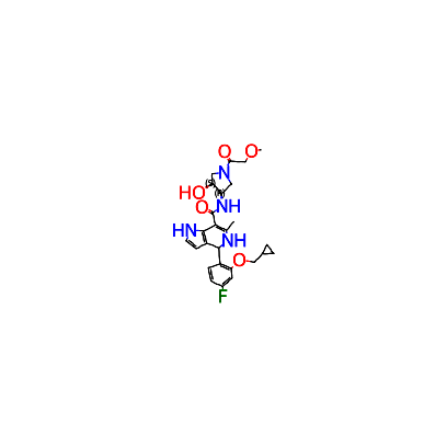 COCC(=O)N1C[C@H](O)[C@H](NC(=O)C2=C(C)NC(c3ccc(F)cc3OCC3CC3)c3cc[nH]c32)C1